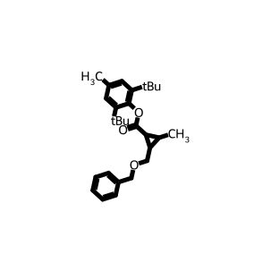 Cc1cc(C(C)(C)C)c(OC(=O)C2C(C)C2COCc2ccccc2)c(C(C)(C)C)c1